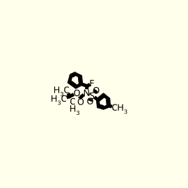 Cc1ccc(S(=O)(=O)N(C(=O)OC(C)(C)C)C(F)c2ccccc2)cc1